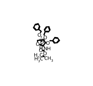 CC(C)(C)OC(=O)N[C@H]1[C@H]2OC[C@](COCc3ccccc3)(O2)[C@H](OCc2ccccc2)[C@@H]1OCc1ccccc1